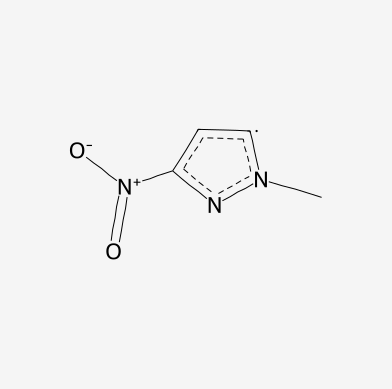 Cn1[c]cc([N+](=O)[O-])n1